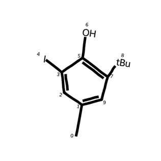 Cc1cc(I)c(O)c(C(C)(C)C)c1